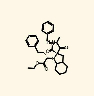 CCOC(=O)[C@H](CCc1ccccc1)N1C2CCCCC2C[C@@]1(C(=O)OCc1ccccc1)C(=O)C(C)N